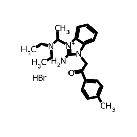 Br.CCN(CC)C(C)[n+]1c(N)n(CC(=O)c2ccc(C)cc2)c2ccccc21